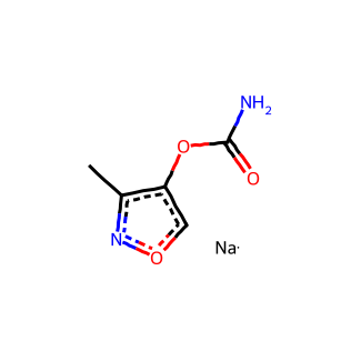 Cc1nocc1OC(N)=O.[Na]